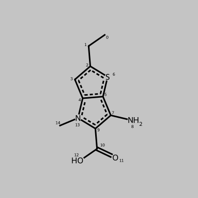 CCc1cc2c(s1)c(N)c(C(=O)O)n2C